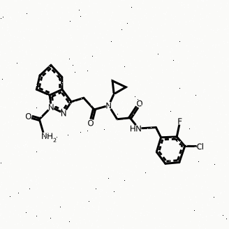 NC(=O)n1nc(CC(=O)N(CC(=O)NCc2cccc(Cl)c2F)C2CC2)c2ccccc21